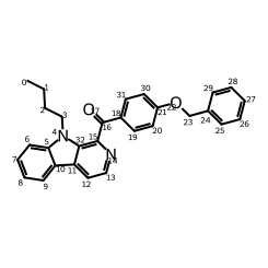 CCCCn1c2ccccc2c2ccnc(C(=O)c3ccc(OCc4ccccc4)cc3)c21